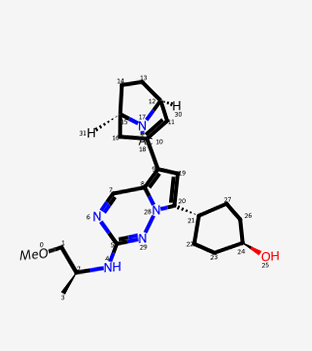 COC[C@H](C)Nc1ncc2c(C3=C[C@@H]4CC[C@H](C3)N4C(C)=O)cc([C@H]3CC[C@H](O)CC3)n2n1